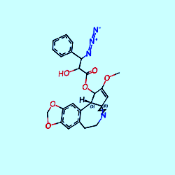 COC1=C[C@]23CCCN2CCc2cc4c(cc2[C@@H]3C1OC(=O)C(O)C(N=[N+]=[N-])c1ccccc1)OCO4